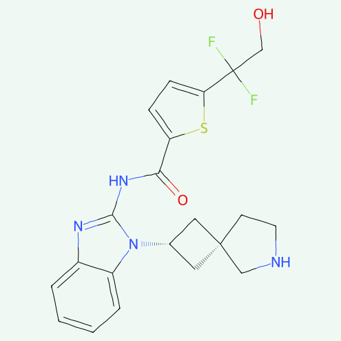 O=C(Nc1nc2ccccc2n1[C@H]1C[C@@]2(CCNC2)C1)c1ccc(C(F)(F)CO)s1